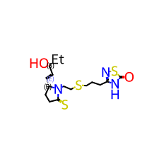 CC[C@H](O)/C=C/[C@H]1CCC(=S)N1CCSCCCc1nsc(=O)[nH]1